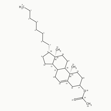 CCCCCCCC[C@H]1CCC2C3CC=C4CC(OC(C)=O)CC[C@]4(C)C3CC[C@@]21C